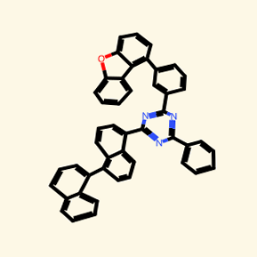 c1ccc(-c2nc(-c3cccc(-c4cccc5oc6ccccc6c45)c3)nc(-c3cccc4c(-c5cccc6ccccc56)cccc34)n2)cc1